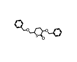 O=C1SC(COCc2ccccc2)CCC1OCc1ccccc1